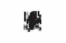 C=C(C)C(=O)OCCC1(C(=O)O)C=C(C(=O)O)C(CCOC(=O)C(=C)C)(C(=O)O)C=C1C(=O)O